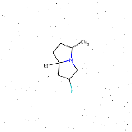 CCC12CCC(C)N1CC(F)C2